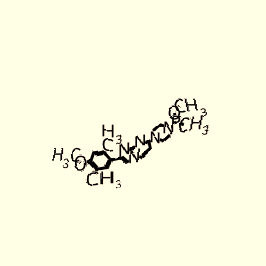 COc1cc(C)c(-c2cn3ccc(N4CCN(P(C)OC)CC4)nc3n2)cc1C